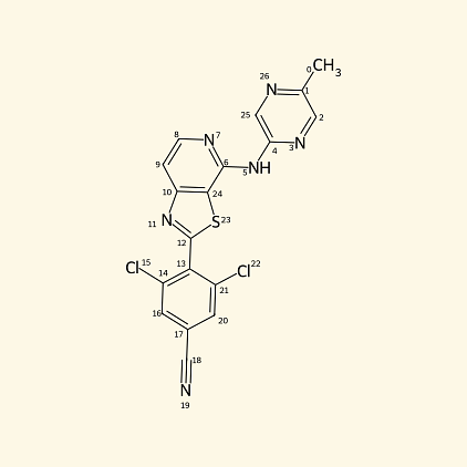 Cc1cnc(Nc2nccc3nc(-c4c(Cl)cc(C#N)cc4Cl)sc23)cn1